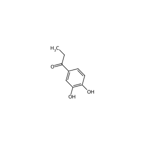 CCC(=O)c1ccc(O)c(O)c1